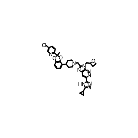 CC1(c2ccc(Cl)cn2)Oc2cccc(C3CCN(Cc4nc5cc(-c6nnc(C7CC7)[nH]6)nnc5n4CC4CCO4)CC3)c2O1